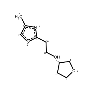 C1CCOC1.Cc1csc(CCO)n1